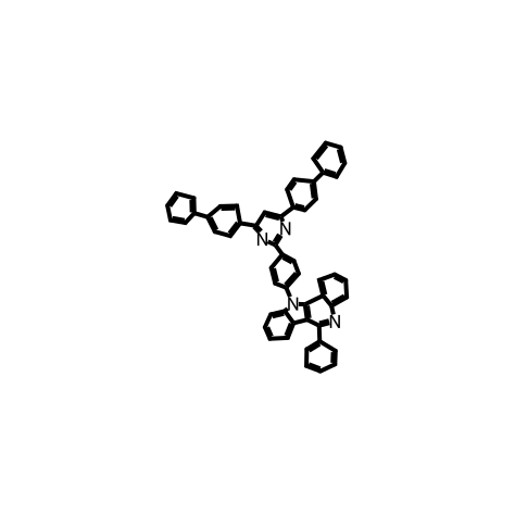 c1ccc(-c2ccc(-c3cc(-c4ccc(-c5ccccc5)cc4)nc(-c4ccc(-n5c6ccccc6c6c(-c7ccccc7)nc7ccccc7c65)cc4)n3)cc2)cc1